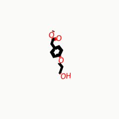 COC(=O)Cc1ccc(OCCCO)cc1